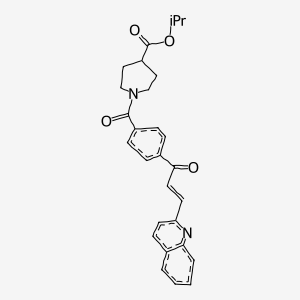 CC(C)OC(=O)C1CCN(C(=O)c2ccc(C(=O)/C=C/c3ccc4ccccc4n3)cc2)CC1